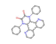 O=c1c(=O)n(-c2ccccc2)c2c3ncccc3c3cccnc3c2n1-c1ccccc1